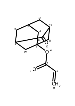 C=CC(=O)OC12CC3CC(C1)C(=O)C(C3)C2